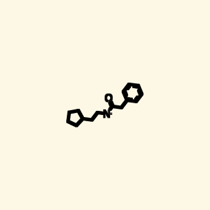 O=C(Cc1ccccc1)[N]CCC1CCCC1